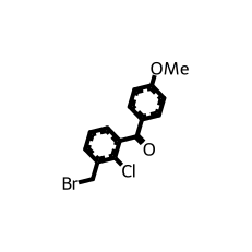 COc1ccc(C(=O)c2cccc(CBr)c2Cl)cc1